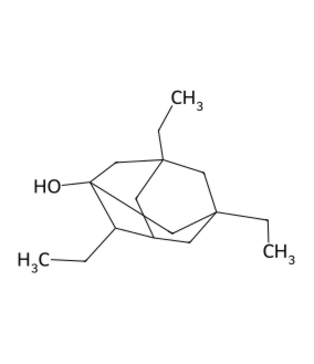 CCC1C2CC3(CC)CC(CC)(C2)CC1(O)C3